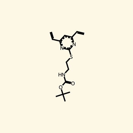 C=Cc1cc(C=C)nc(SCCNC(=O)OC(C)(C)C)n1